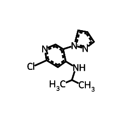 CC(C)Nc1cc(Cl)ncc1-n1cccn1